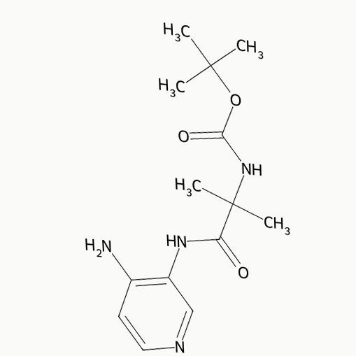 CC(C)(C)OC(=O)NC(C)(C)C(=O)Nc1cnccc1N